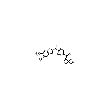 Cc1cc2c(cc1C)CC(Nc1ncc(C(=O)N3CCC34COC4)cn1)C2